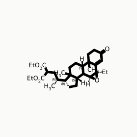 CCOC(=O)C(C[C@@H](C)[C@H]1CC[C@H]2C3[C@H](CCC12C)C1(C)CCC(=O)C=C1[C@@]1(CC)O[C@@H]31)C(=O)OCC